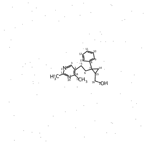 Cc1ncc(CCC2(c3ccccc3)CC2CO)c(C)n1